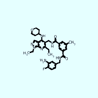 Bc1cc(CNC(=O)c2cc(C)cc(C(=O)NCc3c(CC)nc4c(cnn4CC)c3NC3CCOCC3)c2)ccc1F